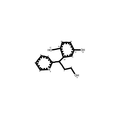 OCCC(c1ccccn1)c1cc(O)ccc1O